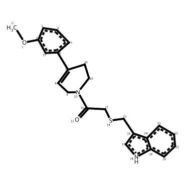 COc1cccc(C2=CCN(C(=O)CSCc3c[nH]c4ccccc34)CC2)c1